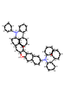 c1ccc(-c2ccccc2N(c2ccccc2)c2ccc3cc4oc5cc6ccc(N(c7ccccc7)c7ccccc7-c7ccccc7)cc6cc5c4cc3c2)cc1